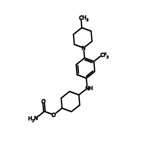 CC1CCN(c2ccc(NC3CCC(OC(N)=O)CC3)cc2C(F)(F)F)CC1